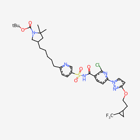 CC(C)(C)OC(=O)N1CC(CCCCCc2ccc(S(=O)(=O)NC(=O)c3ccc(-n4ccc(OCCC5CC5C(F)(F)F)n4)nc3Cl)cn2)CC1(C)C